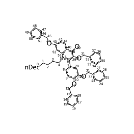 CCCCCCCCCCCCCCn1c(-c2ccc(OCc3ccccc3)c(OCc3ccccc3)c2)c(OCc2ccccc2)c(=O)c2ccc(OCc3ccccc3)cc21